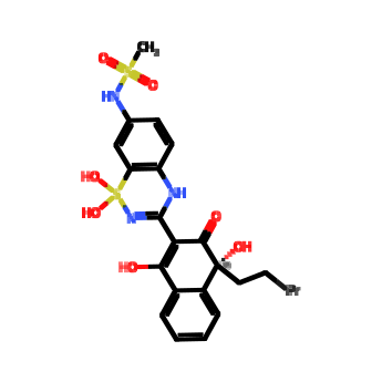 CC(C)CC[C@]1(O)C(=O)C(C2=NS(O)(O)c3cc(NS(C)(=O)=O)ccc3N2)=C(O)c2ccccc21